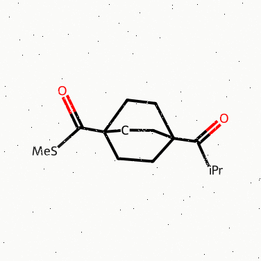 CSC(=O)C12CCC(C(=O)C(C)C)(CC1)CC2